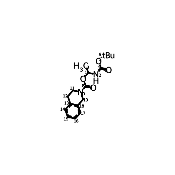 CC(NC(=O)OC(C)(C)C)OC(=O)N1CCc2ccccc2C1